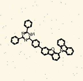 c1ccc(C2=NC(c3ccc(-c4ccc5c(c4)oc4c(-n6c7ccccc7c7ccccc76)cccc45)cc3)NC(c3ccccc3)=N2)cc1